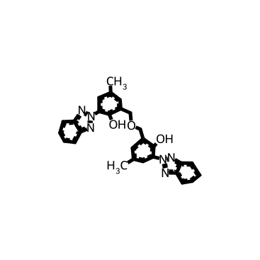 Cc1cc(COCc2cc(C)cc(-n3nc4ccccc4n3)c2O)c(O)c(-n2nc3ccccc3n2)c1